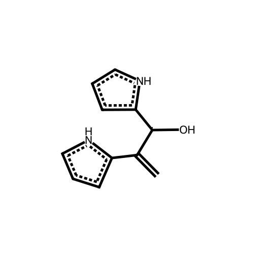 C=C([C](O)c1ccc[nH]1)c1ccc[nH]1